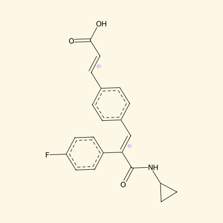 O=C(O)/C=C/c1ccc(/C=C(/C(=O)NC2CC2)c2ccc(F)cc2)cc1